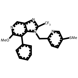 COc1ncc2nc(C(F)(F)F)n(Cc3ccc(SC)cn3)c2c1-c1ccccc1